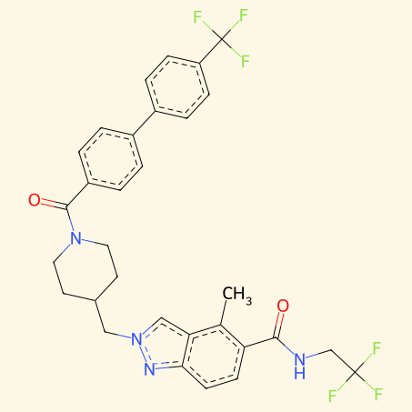 Cc1c(C(=O)NCC(F)(F)F)ccc2nn(CC3CCN(C(=O)c4ccc(-c5ccc(C(F)(F)F)cc5)cc4)CC3)cc12